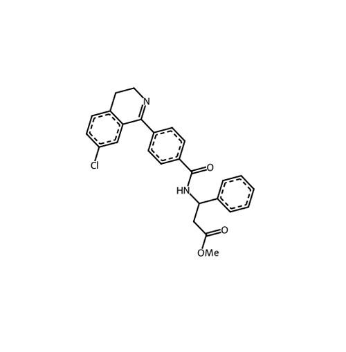 COC(=O)CC(NC(=O)c1ccc(C2=NCCc3ccc(Cl)cc32)cc1)c1ccccc1